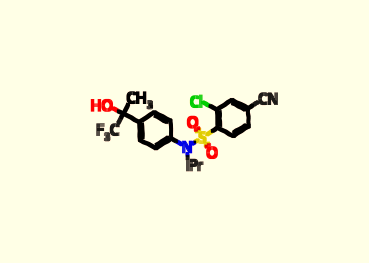 CC(C)N(c1ccc(C(C)(O)C(F)(F)F)cc1)S(=O)(=O)c1ccc(C#N)cc1Cl